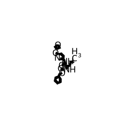 CCCCC(NC(=O)OCc1ccccc1)C(=O)Nc1ccc(OC2COC2)nc1